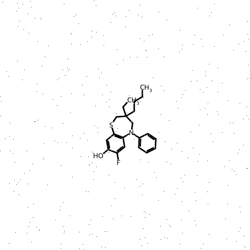 CCCCC1(CC)CSc2cc(O)c(F)cc2N(c2ccccc2)C1